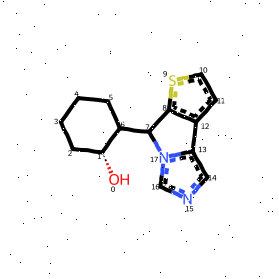 O[C@@H]1CCCCC1C1c2sccc2-c2cncn21